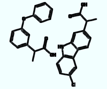 CC(C(=O)O)c1ccc2c(c1)[nH]c1ccc(Cl)cc12.CC(C(=O)O)c1cccc(Oc2ccccc2)c1